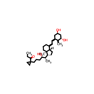 C=C1/C(=C\C=C2/CCC[C@]3(C)[C@@H]([C@H](C)[C@@H](O)CCCC4(C(=O)CC)CC4)CC[C@@H]23)C[C@@H](O)C[C@@H]1O